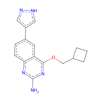 Nc1nc(OCC2CCC2)c2cc(-c3cn[nH]c3)ccc2n1